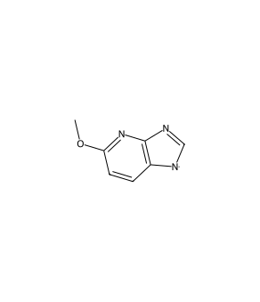 COc1ccc2c(n1)N=C[N]2